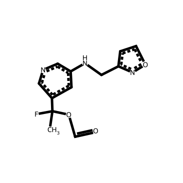 CC(F)(OC=O)c1cncc(NCc2ccon2)c1